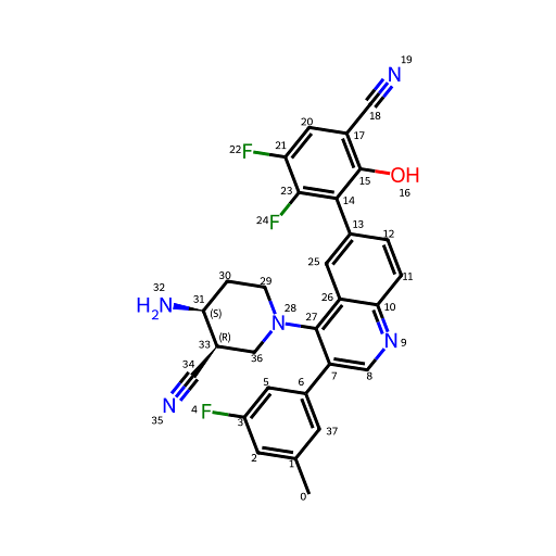 Cc1cc(F)cc(-c2cnc3ccc(-c4c(O)c(C#N)cc(F)c4F)cc3c2N2CC[C@H](N)[C@H](C#N)C2)c1